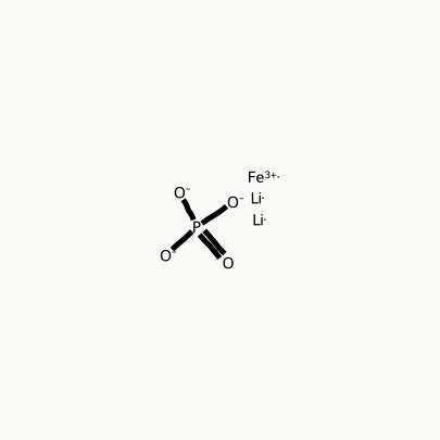 O=P([O-])([O-])[O-].[Fe+3].[Li].[Li]